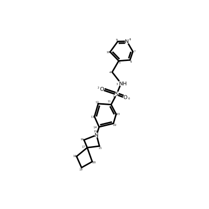 O=S(=O)(NCc1ccncc1)c1ccc(N2CC3(CCC3)C2)cc1